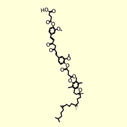 COc1cc(C=CC(=O)CC(=O)C=Cc2ccc(OC(=O)CCC(=O)Oc3c(C)c(C)c4c(c3C)CC[C@@](C)(CCC[C@H](C)CCC[C@H](C)CCCC(C)C)O4)c(OC)c2)ccc1OC(=O)CCC(=O)O